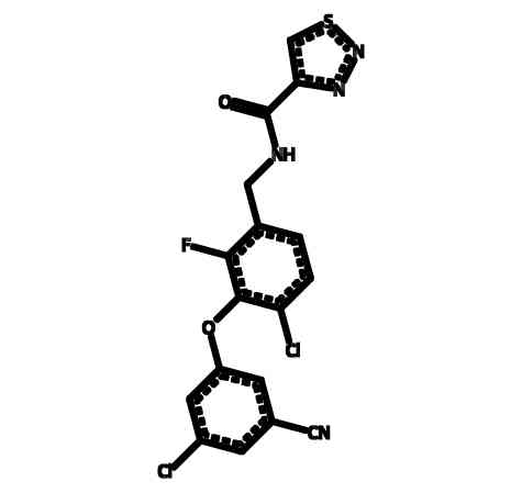 N#Cc1cc(Cl)cc(Oc2c(Cl)ccc(CNC(=O)c3csnn3)c2F)c1